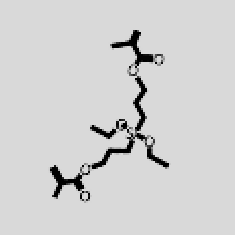 C=C(C)C(=O)OCCC[Si](CCCOC(=O)C(=C)C)(OCC)OCC